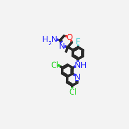 CC1(c2cc(Nc3cc(Cl)cc4cc(Cl)cnc34)ccc2F)COCC(N)=N1